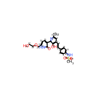 CC(C)(C)c1cc(C=Cc2ccc(NS(C)(=O)=O)cc2)c(O)c(-c2ccc(COCCO)[nH]c2=O)n1